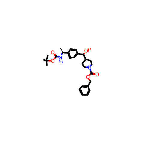 C[C@H](NC(=O)OC(C)(C)C)c1ccc(C(O)C2CCN(C(=O)OCc3ccccc3)CC2)cc1